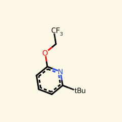 CC(C)(C)c1cccc(OCC(F)(F)F)n1